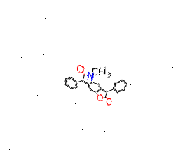 CN1C(=O)C(c2ccccc2)=c2cc3c(cc21)=C(c1ccccc1)C(=O)O3